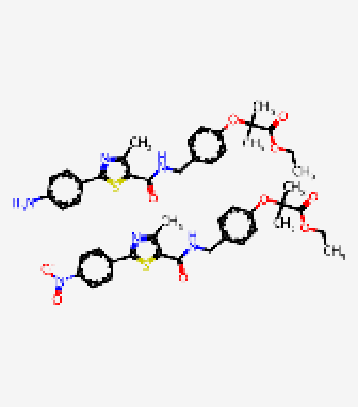 CCOC(=O)C(C)(C)Oc1ccc(CNC(=O)c2sc(-c3ccc(N)cc3)nc2C)cc1.CCOC(=O)C(C)(C)Oc1ccc(CNC(=O)c2sc(-c3ccc([N+](=O)[O-])cc3)nc2C)cc1